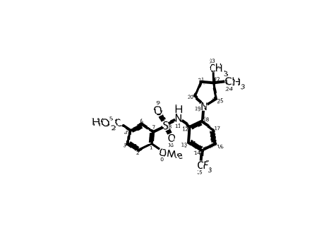 COc1ccc(C(=O)O)cc1S(=O)(=O)Nc1cc(C(F)(F)F)ccc1N1CCC(C)(C)C1